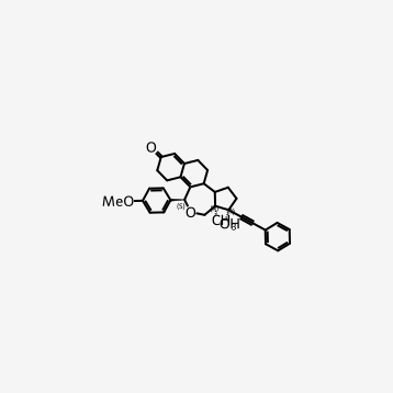 COc1ccc([C@@H]2OC[C@@]3(C)C(CC[C@@]3(O)C#Cc3ccccc3)C3CCC4=CC(=O)CCC4=C32)cc1